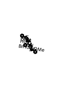 COc1ccccc1-c1csc(-n2nc(C)c(C(c3ccc(Br)cc3)c3c(C)nn(-c4nc(-c5ccccc5OC)cs4)c3O)c2O)n1